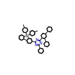 Cc1ccc([Si]2(c3ccc(C)cc3)c3ccccc3-c3ccc(-c4nc(-c5ccccc5)nc(-c5ccc(-c6ccccc6)cc5-c5ccccc5)n4)cc32)cc1